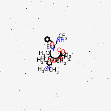 CCN1C[C@H](C)C[C@@](C)(OC)[C@H](O[C@H]2[CH][C@H](N(C)C)C[C@@H](C)O2)[C@@H](C)C(=O)C(C)(C)C(=O)OC[C@H]1[C@@H](CCNCC(F)(F)F)OCc1ccccc1